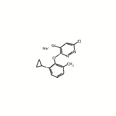 Cc1cccc(C2CC2)c1Oc1nnc(Cl)cc1[O-].[Na+]